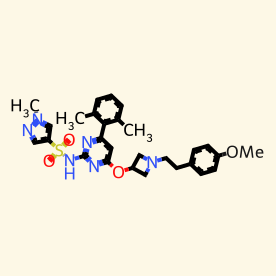 COc1ccc(CCN2CC(Oc3cc(-c4c(C)cccc4C)nc(NS(=O)(=O)c4cnn(C)c4)n3)C2)cc1